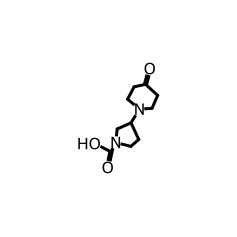 O=C1CCN(C2CCN(C(=O)O)C2)CC1